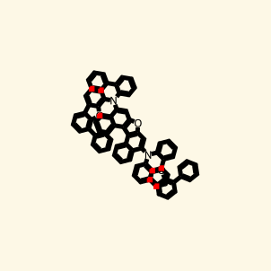 c1ccc(-c2ccccc2N(c2cc3oc4cc(N(c5ccccc5-c5ccccc5)c5cccc6c5oc5c(-c7ccccc7)cccc56)c5ccccc5c4c3c3ccccc23)c2cccc3c2oc2c(-c4ccccc4)cccc23)cc1